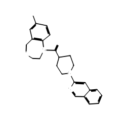 O=C(C1CCN(c2cc3ccccc3cn2)CC1)N1CCOCc2cc(Cl)ccc21